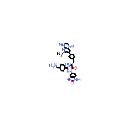 Cc1nc2c(cc1-c1ccc(C[C@H](NC(=O)C3CCC(CN)CC3)C(=O)Nc3ccc4[nH]c(=O)[nH]c4c3)cc1)NCCN2